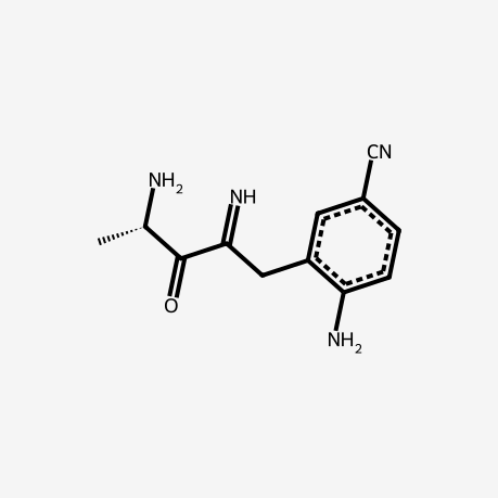 C[C@H](N)C(=O)C(=N)Cc1cc(C#N)ccc1N